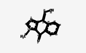 Cn1cnc2c1C(=O)c1ccccc1/C2=N\O